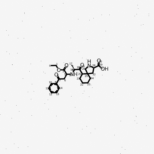 CCOC(=O)C(CC(=O)c1ccccc1)N[C@@H](C)C(=O)C1CCCCC12CNC(C(=O)O)C2